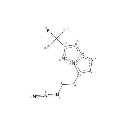 [N-]=[N+]=NCCc1cnc2sc(C(F)(F)F)nn12